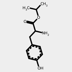 CC(C)OC(=O)C(N)Cc1ccc(O)cc1